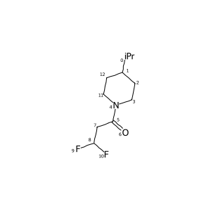 CC(C)C1CCN(C(=O)CC(F)F)CC1